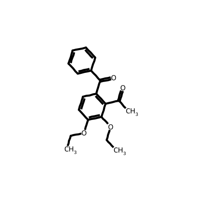 CCOc1ccc(C(=O)c2ccccc2)c(C(C)=O)c1OCC